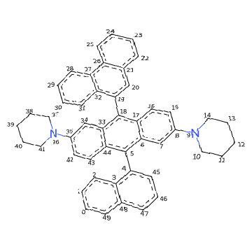 c1ccc2c(-c3c4cc(N5CCCCC5)ccc4c(-c4cc5ccccc5c5ccccc45)c4cc(N5CCCCC5)ccc34)cccc2c1